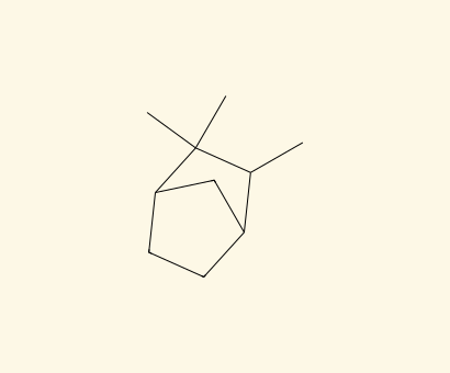 CC1C2CCC(C2)C1(C)C